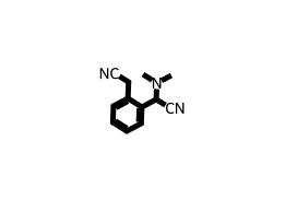 CN(C)C(C#N)c1ccccc1CC#N